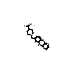 NC(=O)C1CCN(Cc2ccc3c(c2)Nc2nccnc2S3)CC1